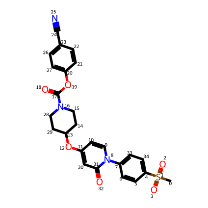 CS(=O)(=O)c1ccc(-n2ccc(OC3CCN(C(=O)Oc4ccc(C#N)cc4)CC3)cc2=O)cc1